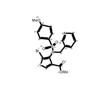 COC(=O)c1csc(Br)c1N(Cc1cccnc1)S(=O)(=O)c1ccc(OC)cc1